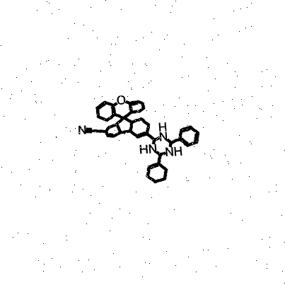 N#CC1C=CC2C3C=C(C4NC(C5=CCCCC5)NC(c5ccccc5)N4)CCC3C3(C4=C(C=CCC4)OC4=CCCCC43)C2C1